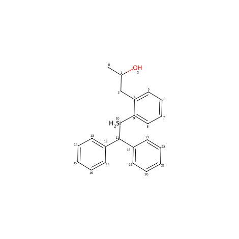 CC(O)Cc1ccccc1[SiH2]C(c1ccccc1)c1ccccc1